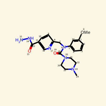 COc1cccc(N(Cc2ccc(C(=O)NN)cn2)C(=O)N2CCN(C)CC2)c1